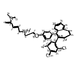 C=C(/C=C/CNCCOc1ccc(C2=C(c3cc(F)c(Cl)cc3Cl)CCCc3ccccc32)cc1)N(C)C